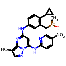 C[S+]([O-])Cc1cc(Nc2cc(Nc3ccc([N+](=O)[O-])cn3)n3ncc(C#N)c3n2)ccc1C1CC1